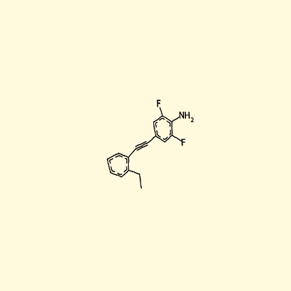 CCc1ccccc1C#Cc1cc(F)c(N)c(F)c1